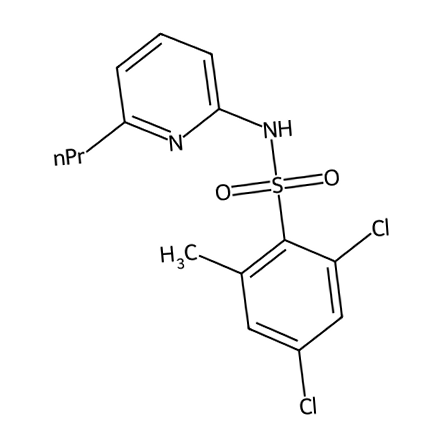 CCCc1cccc(NS(=O)(=O)c2c(C)cc(Cl)cc2Cl)n1